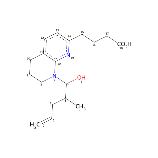 C=CCC(C)C(O)N1CCCc2ccc(CCCC(=O)O)nc21